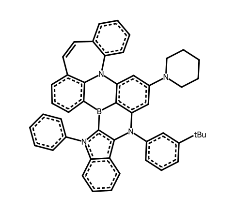 CC(C)(C)c1cccc(N2c3cc(N4CCCCC4)cc4c3B(c3cccc5c3N4c3ccccc3C=C5)c3c2c2ccccc2n3-c2ccccc2)c1